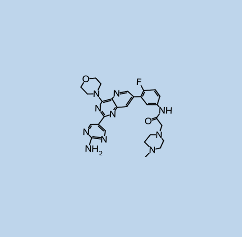 CN1CCN(CC(=O)Nc2ccc(F)c(-c3cnc4c(N5CCOCC5)nc(-c5cnc(N)nc5)nc4c3)c2)CC1